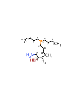 Br.CCCCP(CCCC)CCCC.CCCN